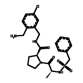 C[C@@H](NS(=O)(=O)Cc1ccccc1)C(=O)N1CCC[C@H]1C(=O)NCc1cc(Cl)ccc1CN